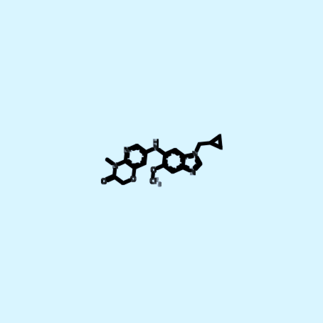 CN1C(=O)COc2cc(Nc3cc4c(cc3OC(F)(F)F)ncn4CC3CC3)cnc21